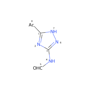 CC(=O)c1nc(NC=O)n[nH]1